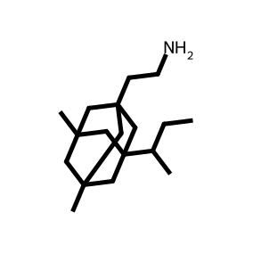 CCC(C)C12CC3(C)CC(C)(CC(CCN)(C3)C1)C2